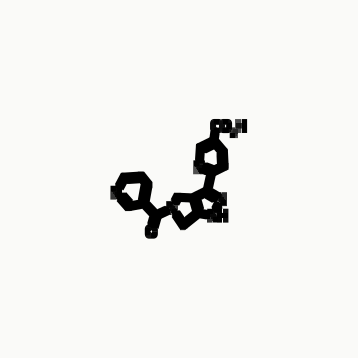 O=C(O)c1ccc(-c2n[nH]c3c2CN(C(=O)c2cccnc2)C3)nc1